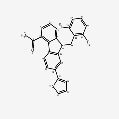 NC(=O)c1cccc2c1c1[c]cc(-c3cccs3)cc1n2Cc1c(F)cccc1Cl